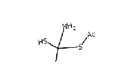 CC(=O)SC(C)(N)S